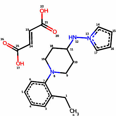 CCc1ccccc1N1CCC(Nn2cccc2)CC1.O=C(O)C=CC(=O)O